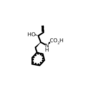 C=C[C@@H](O)[C@H](Cc1ccccc1)NC(=O)O